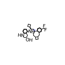 OC1CNc2cccc(NC(/C=C3\CCC4CCC4Cc4cc(C(F)F)ccc43)=C3CCC3)c2C1